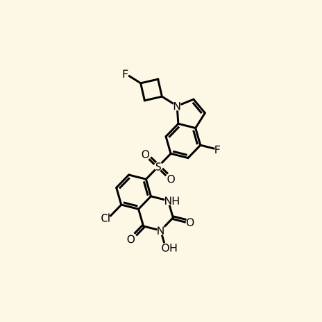 O=c1[nH]c2c(S(=O)(=O)c3cc(F)c4ccn(C5CC(F)C5)c4c3)ccc(Cl)c2c(=O)n1O